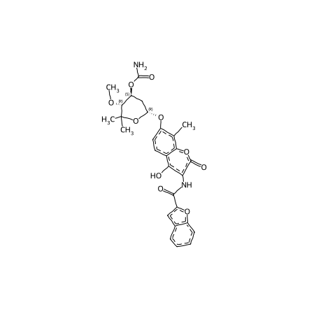 CO[C@@H]1[C@@H](OC(N)=O)C[C@H](Oc2ccc3c(O)c(NC(=O)c4cc5ccccc5o4)c(=O)oc3c2C)OC1(C)C